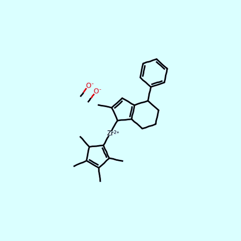 CC1=CC2=C(CCCC2c2ccccc2)[CH]1[Zr+2][C]1=C(C)C(C)=C(C)C1C.C[O-].C[O-]